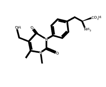 Cc1c(CO)c(=O)n(-c2ccc(C[C@H](N)C(=O)O)cc2)c(=O)n1C